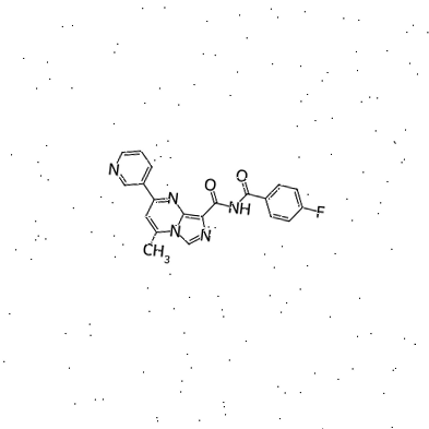 Cc1cc(-c2cccnc2)nc2c(C(=O)NC(=O)c3ccc(F)cc3)ncn12